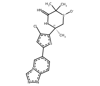 CC1(C)C(=N)N[C@](C)(c2sc(-c3ccc4nncn4c3)cc2Cl)C[S+]1[O-]